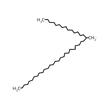 [CH2]C(CCCCCCCCCCCCCC)CCCCCCCCCCCCCCCCCCCCCCCCCC